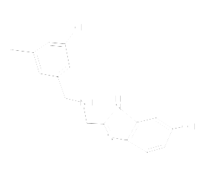 Oc1ccc2nc(CNCc3cc(Cl)cc(Cl)c3)[nH]c2c1